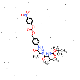 CC(NC(=O)C(NC(=O)OC(C)(C)C)C(C)C)C(=O)Nc1ccc(COC(=O)Oc2ccc([N+](=O)[O-])cc2)cc1